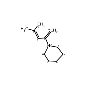 C=C(C=C(C)C)N1CCCCC1